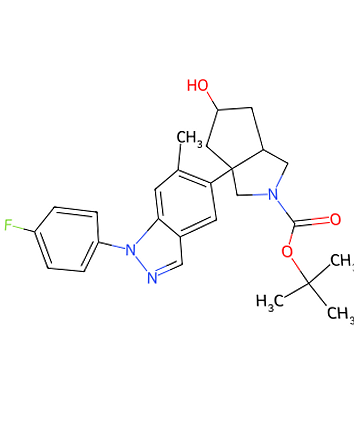 Cc1cc2c(cnn2-c2ccc(F)cc2)cc1C12CC(O)CC1CN(C(=O)OC(C)(C)C)C2